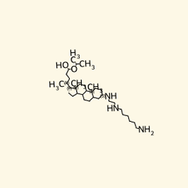 CC(C)OC(O)CC[C@@H](C)[C@H]1CCC2C3CCC4C[C@@H](NCCNCCCCCCN)CC[C@]4(C)C3CC[C@@]21C